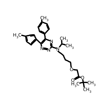 Cc1ccc(-c2nnc(N(CCCCOCC(=O)OC(C)(C)C)C(C)C)nc2-c2ccc(C)cc2)cc1